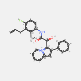 C=CCc1c(F)ccc(NC(=O)C(=O)c2c(-c3ccccc3)cc3ccccn23)c1OC